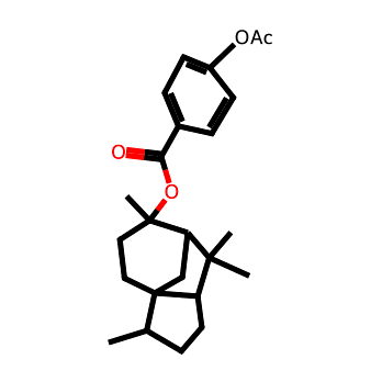 CC(=O)Oc1ccc(C(=O)OC2(C)CCC34CC2C(C)(C)C3CCC4C)cc1